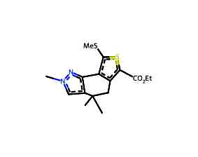 CCOC(=O)c1sc(SC)c2c1CC(C)(C)c1cn(C)nc1-2